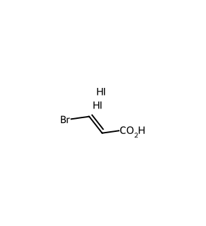 I.I.O=C(O)C=CBr